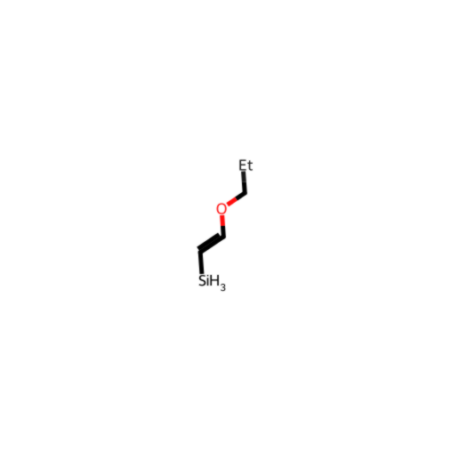 CCCOC=C[SiH3]